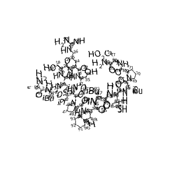 CC[C@H](C)[C@H](NC(=O)[C@H](C)N)C(=O)N[C@@H](CS)C(=O)N[C@@H](CO)C(=O)N[C@@H](CCCNC(=N)N)C(=O)N[C@@H](CO)C(=O)N[C@@H](CC(C)C)C(=O)N1CCC[C@H]1C(=O)N1[C@H](C(=O)N[C@H](C(=O)N[C@H](C(=O)N[C@H](C(=O)N2CCC[C@H]2C(=O)N[C@@H](CC(=O)O)C(N)=O)[C@@H](C)CC)C(C)(C)S)[C@@H](C)CC)C[C@@H]2CCCC[C@@H]21